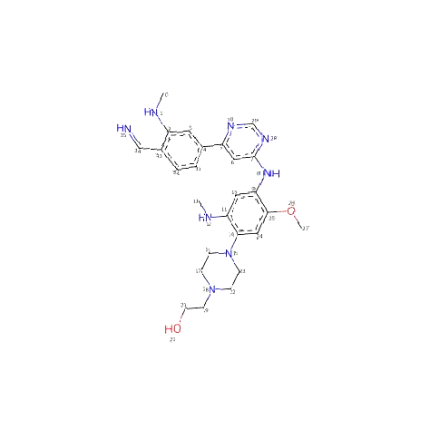 CNc1cc(-c2cc(Nc3cc(NC)c(N4CCN(CCO)CC4)cc3OC)ncn2)ccc1C=N